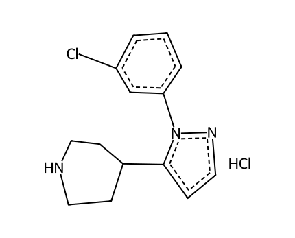 Cl.Clc1cccc(-n2nccc2C2CCNCC2)c1